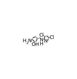 Nc1ccc(CNc2ncc(Cl)cc2Cl)cc1O